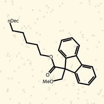 CCCCCCCCCCCCCCCOC(=O)C1(COC)c2ccccc2-c2ccccc21